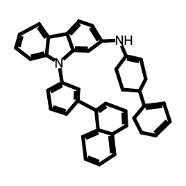 C1=CCCC(C2CC=C(Nc3ccc4c5ccccc5n(-c5cccc(-c6cccc7ccccc67)c5)c4c3)CC2)=C1